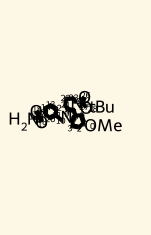 COc1ccc2c(c1)c1c(n2Cc2cccc(S(N)(=O)=O)c2)CCCN1C(=O)OC(C)(C)C